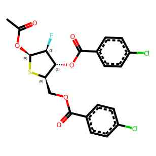 CC(=O)O[C@@H]1S[C@H](COC(=O)c2ccc(Cl)cc2)[C@@H](OC(=O)c2ccc(Cl)cc2)[C@@H]1F